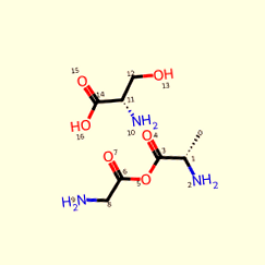 C[C@H](N)C(=O)OC(=O)CN.N[C@@H](CO)C(=O)O